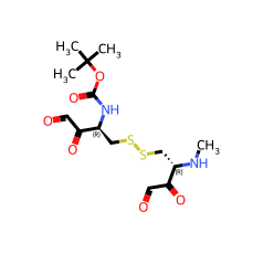 CN[C@@H](CSSC[C@H](NC(=O)OC(C)(C)C)C(=O)C=O)C(=O)C=O